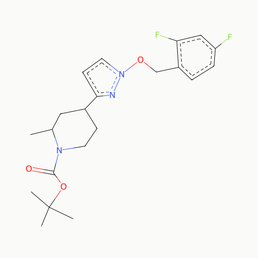 CC1CC(c2ccn(OCc3ccc(F)cc3F)n2)CCN1C(=O)OC(C)(C)C